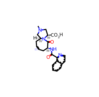 CN1C[C@@H]2C/C=C\C[C@H](NC(=O)c3nccc4ccccc34)C(=O)N2[C@H](C(=O)O)C1